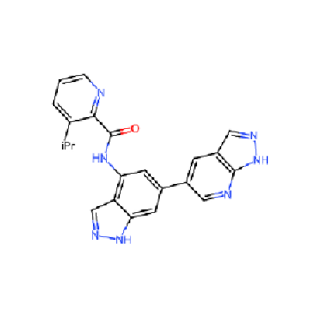 CC(C)c1cccnc1C(=O)Nc1cc(-c2cnc3[nH]ncc3c2)cc2[nH]ncc12